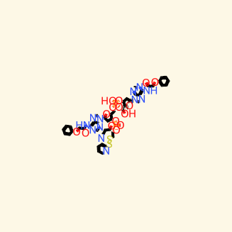 N#CCCOP(=O)(OCCSSc1ccccn1)OC1CC(n2cnc3c(NC(=O)COc4ccccc4)ncnc32)OC1COP(=O)(O)OC1C[C@H](n2cnc3c(NC(=O)COc4ccccc4)ncnc32)O[C@@H]1CO